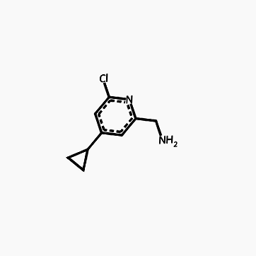 NCc1cc(C2CC2)cc(Cl)n1